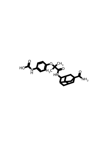 CC(C)(Oc1ccc(NC(=O)O)cc1)C(=O)NC1C2CC3CC1CC(C(N)=O)(C3)C2